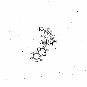 O=C(NC1[C@@H]2CC3C[C@H]1C[C@](O)(C3)C2)C1COc2ccccc2O1